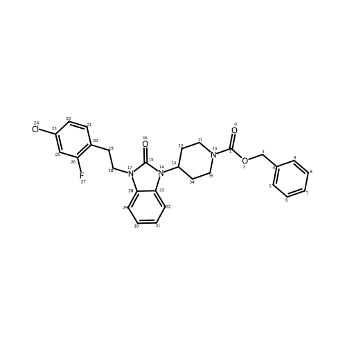 O=C(OCc1ccccc1)N1CCC(n2c(=O)n(CCc3ccc(Cl)cc3F)c3ccccc32)CC1